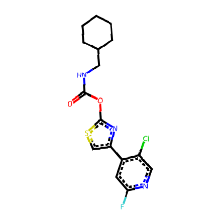 O=C(NCC1CCCCC1)Oc1nc(-c2cc(F)ncc2Cl)cs1